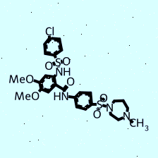 COc1cc(NS(=O)(=O)c2ccc(Cl)cc2)c(C(=O)Nc2ccc(S(=O)(=O)N3CCCN(C)CC3)cc2)cc1OC